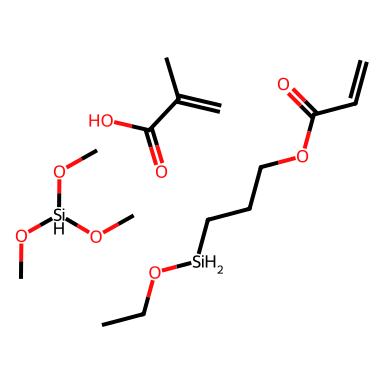 C=C(C)C(=O)O.C=CC(=O)OCCC[SiH2]OCC.CO[SiH](OC)OC